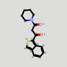 O=C(CC(=O)N1CCCCC1)c1scc2ccccc12